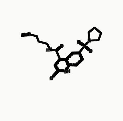 COCCCNC(=O)c1cc(=O)[nH]c2ccc(S(=O)(=O)N3CCCC3)cc12